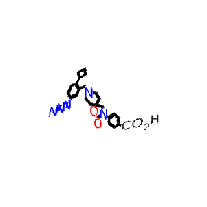 [N-]=[N+]=Nc1ccc(C2CCC2)c(CN2CCC3(CC2)CN(c2ccc(C(=O)O)cc2)C(=O)O3)c1